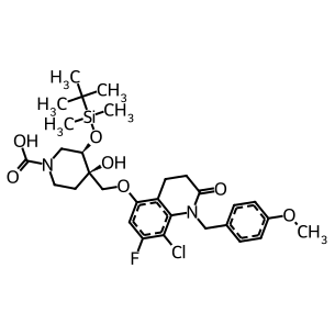 COc1ccc(CN2C(=O)CCc3c(OC[C@]4(O)CCN(C(=O)O)C[C@H]4O[Si](C)(C)C(C)(C)C)cc(F)c(Cl)c32)cc1